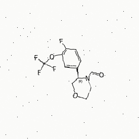 O=CN1CCOC[C@H]1c1ccc(F)c(OC(F)(F)F)c1